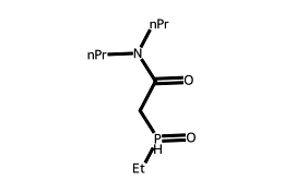 CCCN(CCC)C(=O)C[PH](=O)CC